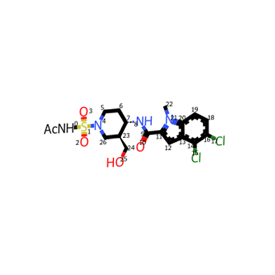 CC(=O)NS(=O)(=O)N1CC[C@H](NC(=O)c2cc3c(Cl)c(Cl)ccc3n2C)[C@@H](CO)C1